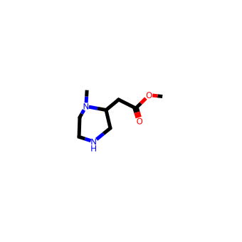 COC(=O)CC1CNCCN1C